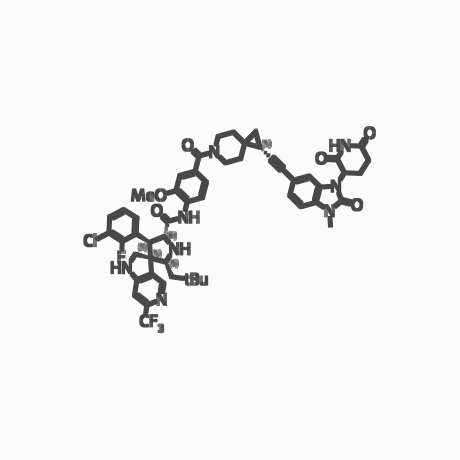 COc1cc(C(=O)N2CCC3(CC2)C[C@@H]3C#Cc2ccc3c(c2)n(C2CCC(=O)NC2=O)c(=O)n3C)ccc1NC(=O)[C@@H]1N[C@@H](CC(C)(C)C)[C@@]2(CNc3cc(C(F)(F)F)ncc32)[C@H]1c1cccc(Cl)c1F